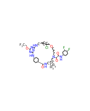 CC1(C)CNC(=O)c2ccc(cc2)Nc2nc(nc(OCC(F)(F)F)n2)NCc2ccc(c(Cl)c2)OCCCN(C(=O)C(=O)Nc2ccc(F)c(F)c2)C1